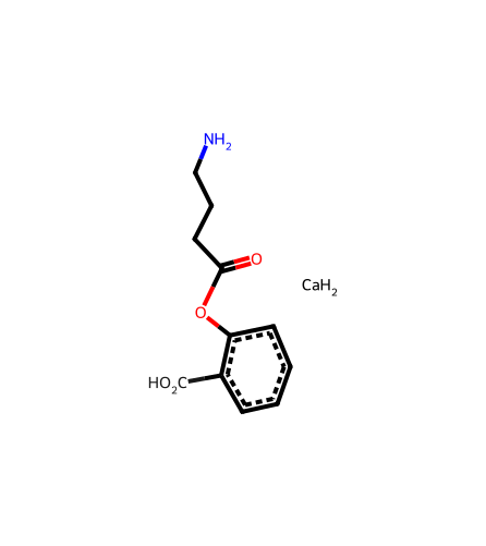 NCCCC(=O)Oc1ccccc1C(=O)O.[CaH2]